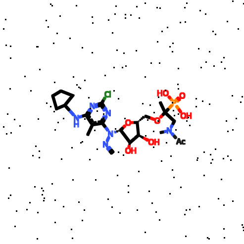 C=NN(c1nc(Cl)nc(NC2CCCC2)c1C)[C@@H]1O[C@H](COC(C)(CN(C)C(C)=O)P(=O)(O)O)[C@@H](O)[C@H]1O